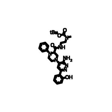 CN(CCNC(=O)C1CN(c2cc(-c3ccccc3O)nnc2N)CCN1c1ccccc1)C(=O)OC(C)(C)C